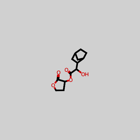 O=C1OCCC1OC(=O)C(O)C1CC2CCC1C2